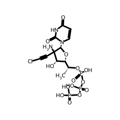 C[C@@H](OP(=O)(O)OP(=O)(O)OP(=O)(O)O)[C@H]1O[C@@H](n2ccc(=O)[nH]c2=O)C(N)(C#CCl)[C@H]1O